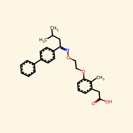 Cc1c(CC(=O)O)cccc1OCCON=C(CC(C)C)c1ccc(-c2ccccc2)cc1